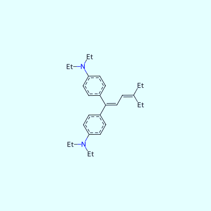 CCC(=CC=C(c1ccc(N(CC)CC)cc1)c1ccc(N(CC)CC)cc1)CC